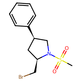 CS(=O)(=O)N1C[C@H](c2ccccc2)C[C@@H]1CBr